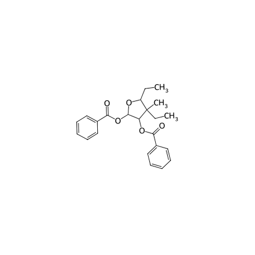 CCC1OC(OC(=O)c2ccccc2)C(OC(=O)c2ccccc2)C1(C)CC